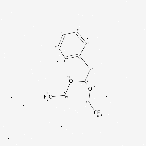 FC(F)(F)COC(Cc1ccccc1)OCC(F)(F)F